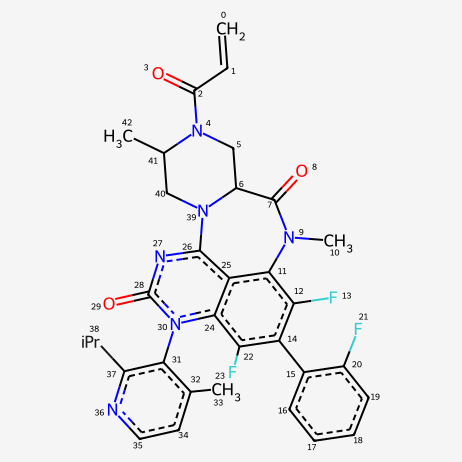 C=CC(=O)N1CC2C(=O)N(C)c3c(F)c(-c4ccccc4F)c(F)c4c3c(nc(=O)n4-c3c(C)ccnc3C(C)C)N2CC1C